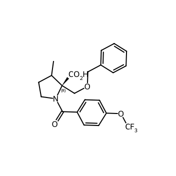 CC1CCN(C(=O)c2ccc(OC(F)(F)F)cc2)[C@]1(COCc1ccccc1)C(=O)O